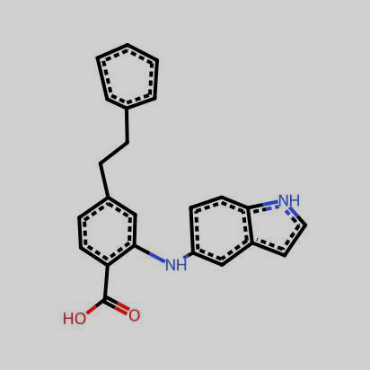 O=C(O)c1ccc(CCc2ccccc2)cc1Nc1ccc2[nH]ccc2c1